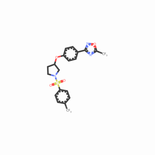 O=S(=O)(c1ccc(C(F)(F)F)cc1)N1CCC(Oc2ccc(-c3noc(C(F)(F)F)n3)cc2)C1